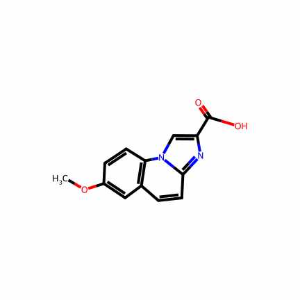 COc1ccc2c(ccc3nc(C(=O)O)cn32)c1